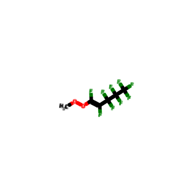 COOC(F)=C(F)C(F)(F)C(F)(F)C(F)(F)F